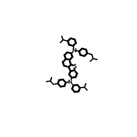 CC(C)Cc1ccc(N(c2cccc(C(C)C)c2)c2ccc3sc4c5cc(N(c6ccc(CC(C)C)cc6)c6cccc(C(C)C)c6)ccc5ccc4c3c2)cc1